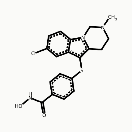 CN1CCc2c(Sc3ccc(C(=O)NO)cc3)c3cc(Cl)ccc3n2C1